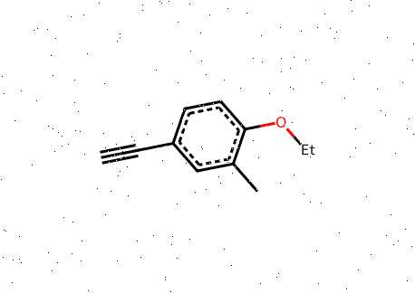 C#Cc1ccc(OCC)c(C)c1